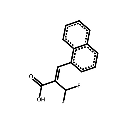 O=C(O)C(=Cc1cccc2ccccc12)C(F)F